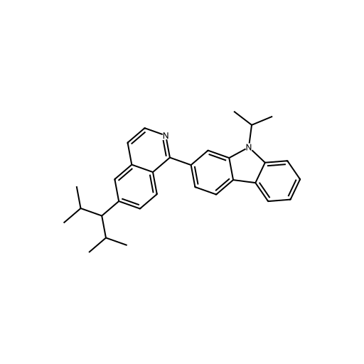 CC(C)C(c1ccc2c(-c3ccc4c5ccccc5n(C(C)C)c4c3)nccc2c1)C(C)C